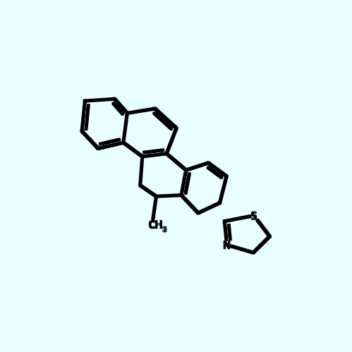 C1=NCCS1.CC1Cc2c(ccc3ccccc23)C2=C1CCC=C2